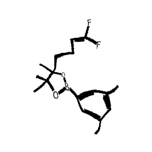 Cc1cc(C)cc(B2OC(C)(C)C(C)(CCC=C(F)F)O2)c1